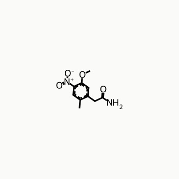 COc1cc(CC(N)=O)c(C)cc1[N+](=O)[O-]